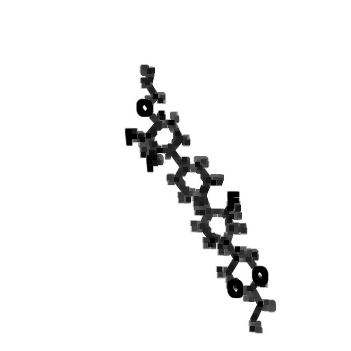 C=CCOc1ccc(-c2ccc(-c3ccc(C4COC(CC)OC4)cc3F)cc2)c(F)c1F